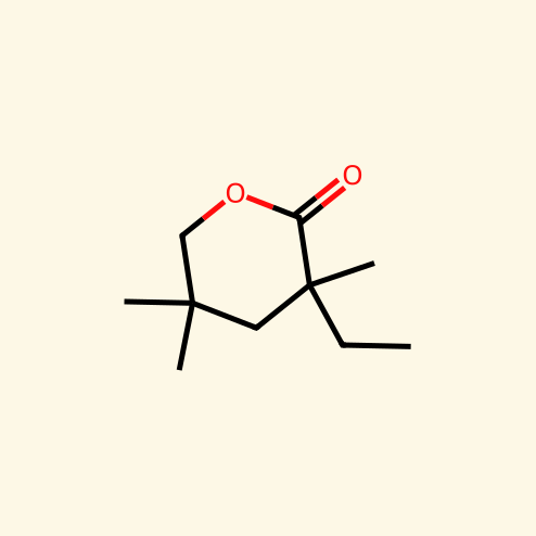 CCC1(C)CC(C)(C)COC1=O